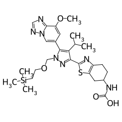 COc1cc(-c2c(C(C)C)c(-c3nc4c(s3)CC(NC(=O)O)CC4)nn2COCC[Si](C)(C)C)cn2ncnc12